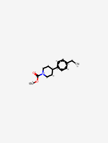 CC(C)(C)OC(=O)N1CCC(c2ccc(CC#N)cc2)CC1